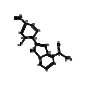 NC(=O)c1cccc2[nH]c(-c3ccc(C=O)cc3F)nc12